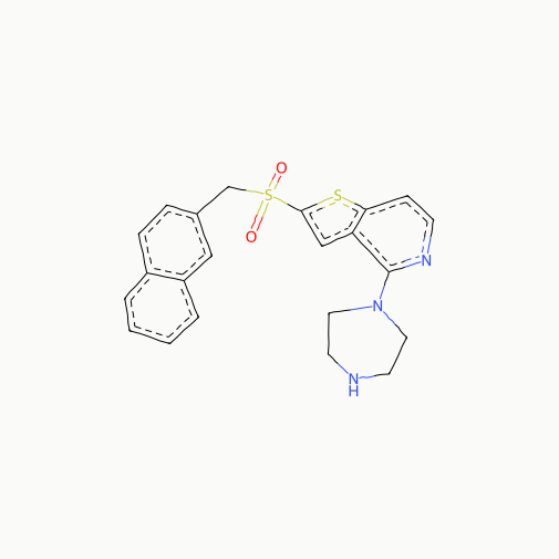 O=S(=O)(Cc1ccc2ccccc2c1)c1cc2c(N3CCNCC3)nccc2s1